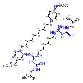 CCCCC(CC)CNC(=N)NC(=N)NCCCCCCNC(=N)NC(=N)NCC(CC)CCCC.CCCCCCCCN=c1ccn(CCCCCCCCCCn2ccc(=NCCCCCCCC)cc2)cc1